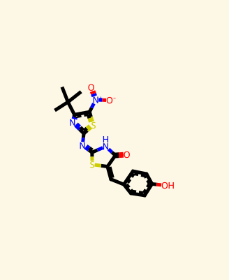 CC(C)(C)c1nc(N=C2NC(=O)C(=Cc3ccc(O)cc3)S2)sc1[N+](=O)[O-]